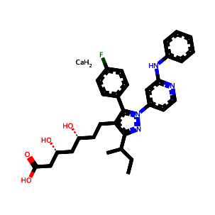 CCC(C)c1nn(-c2ccnc(Nc3ccccc3)c2)c(-c2ccc(F)cc2)c1CC[C@@H](O)C[C@@H](O)CC(=O)O.[CaH2]